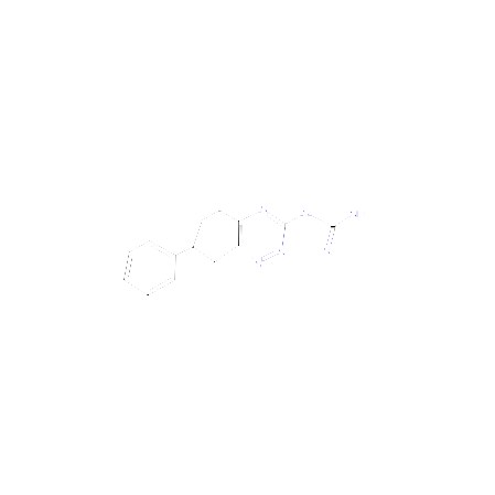 N=C(N)Nc1nnc2c(n1)CCC(c1ccccc1)C2